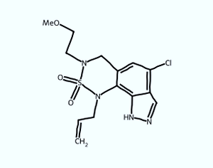 C=CCN1c2c(cc(Cl)c3cn[nH]c23)CN(CCOC)S1(=O)=O